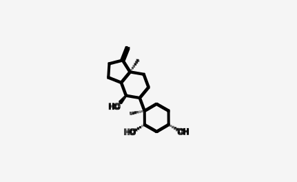 C=C1CCC2[C@H](O)C([C@@]3(C)CC[C@H](O)C[C@@H]3O)CC[C@]12C